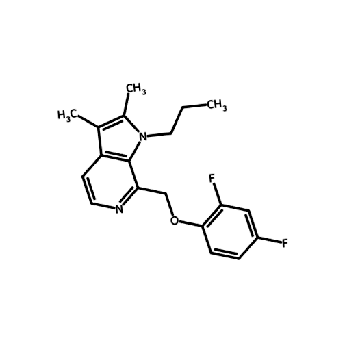 CCCn1c(C)c(C)c2ccnc(COc3ccc(F)cc3F)c21